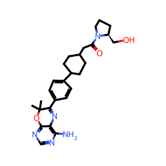 CC1(C)Oc2ncnc(N)c2N=C1c1ccc(C2CCC(CC(=O)N3CCC[C@H]3CO)CC2)cc1